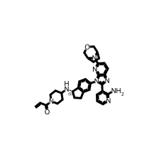 C=CC(=O)N1CCC(N[C@H]2CCc3cc(-n4c(-c5cccnc5N)nc5ccc(N6C7CCC6COC7)nc54)ccc32)CC1